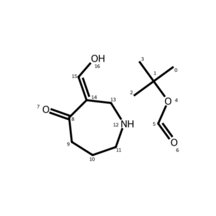 CC(C)(C)OC=O.O=C1CCCNC/C1=C\O